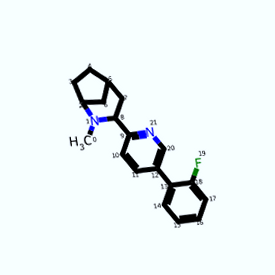 CN1C2CCC(C2)CC1c1ccc(-c2ccccc2F)cn1